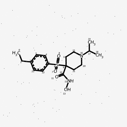 CCc1ccc(S(=O)(=O)C2(C(=O)NO)CCN(C(C)C)CC2)cc1